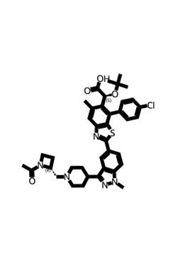 CC(=O)N1CC[C@@H]1CN1CCC(c2nn(C)c3ccc(-c4nc5cc(C)c([C@H](OC(C)(C)C)C(=O)O)c(-c6ccc(Cl)cc6)c5s4)cc23)CC1